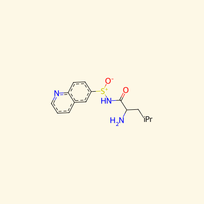 CC(C)CC(N)C(=O)N[S+]([O-])c1ccc2ncccc2c1